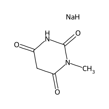 CN1C(=O)CC(=O)NC1=O.[NaH]